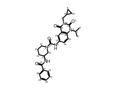 CC(C)n1c(=O)n(CC2CC2)c(=O)c2cc(NC(=O)N3CCCC(NC(=O)c4ccccc4)C3)ccc21